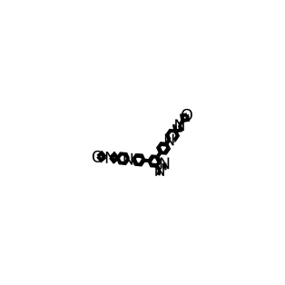 Cn1cnc2c(-c3ccc(N4CCC5(CC4)CN(C4COC4)C5)cc3)cc(-c3ccc(N4CCC5(CC4)CN(C4COC4)C5)cc3)cc21